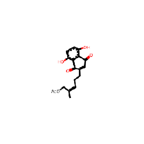 CC(=O)OCC(C)=CCCC1=CC(=O)c2c(O)ccc(O)c2C1=O